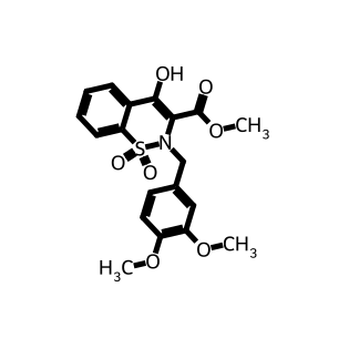 COC(=O)C1=C(O)c2ccccc2S(=O)(=O)N1Cc1ccc(OC)c(OC)c1